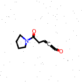 O=C=C=C[CH]C(=O)N1CCCC1